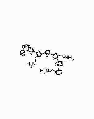 CCCc1ccsc1-c1ccc(-c2sc(-c3ccc(-c4cc(CCN)c(-c5ccc(-c6sccc6CCN)s5)s4)s3)cc2CCN)s1